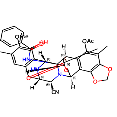 COc1c(C)cc2c(c1O)[C@H]1N[C@@H](C2)[C@H](C#N)N2C1[C@@H]1SC[C@H](NC(=O)c3ccccc3)C(=O)OC[C@H]2c2c3c(c(C)c(OC(C)=O)c21)OCO3